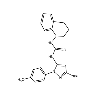 Cc1ccc(-n2nc(C(C)(C)C)cc2NC(=O)NC2CCCc3ccccc32)cc1